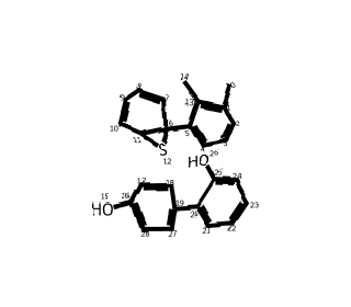 Cc1cccc(C23C=CC=CC2S3)c1C.Oc1ccc(-c2ccccc2O)cc1